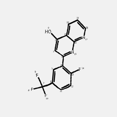 Oc1cc(-c2cc(C(F)(F)F)ccc2F)nc2ncccc12